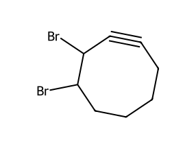 BrC1C#CCCCCC1Br